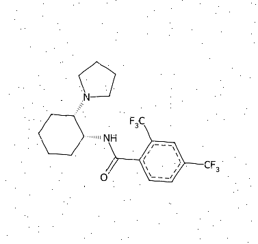 O=C(N[C@@H]1CCCC[C@@H]1N1CCCC1)c1ccc(C(F)(F)F)cc1C(F)(F)F